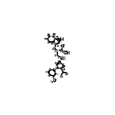 COc1cccc(-c2nc(NCC(Cc3c[nH]c4ccccc34)C(=O)O)sc2C(C)C)c1